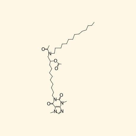 CCCCCCCCCCCCCCN(CC(CCCCCCCCCn1c(=O)c2c(ncn2C)n(C)c1=O)OC(C)=O)C(C)=O